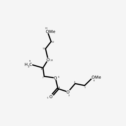 COCCOC(=O)OCC(C)OCCOC